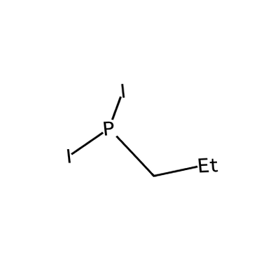 CCCP(I)I